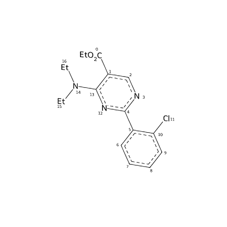 CCOC(=O)c1cnc(-c2ccccc2Cl)nc1N(CC)CC